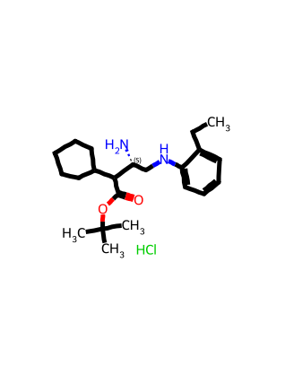 CCc1ccccc1NC[C@@H](N)C(C(=O)OC(C)(C)C)C1CCCCC1.Cl